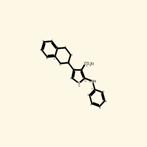 CCOC(=O)c1c(C2CCc3ccccc3C2)csc1Nc1ccccc1